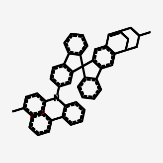 Cc1ccc(N(c2ccc3c(c2)C2(c4ccccc4-3)c3ccccc3-c3cc4c(cc32)C=C2CC(C)CC4C2)c2ccccc2-c2ccccc2)cc1